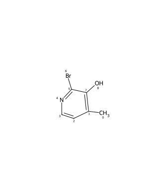 Cc1ccnc(Br)c1O